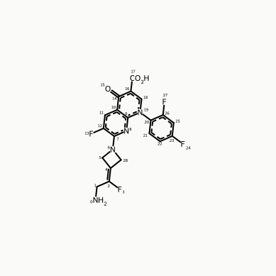 NCC(F)=C1CN(c2nc3c(cc2F)c(=O)c(C(=O)O)cn3-c2ccc(F)cc2F)C1